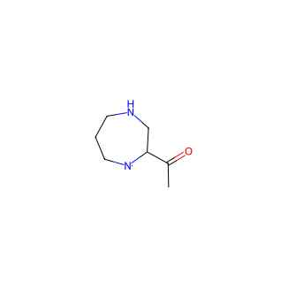 CC(=O)C1CNCCC[N]1